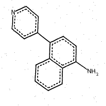 Nc1ccc(-c2ccncc2)c2ccccc12